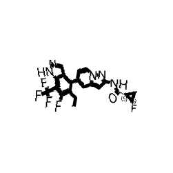 CCc1c(F)c(C(F)(F)F)c2[nH]ncc2c1-c1ccn2nc(NC(=O)[C@@H]3C[C@@H]3F)cc2c1